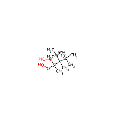 C[Si](C)(C)[Si](C)([Si](C)(C)C)[Si](C)(OO)OO